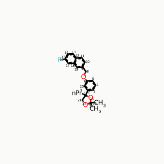 CCCC1(c2cccc(OCc3ccc4ccc(F)cc4c3)c2)COC(C)(C)O1